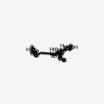 CC(C)(C)[C@H](NC(=O)c1cc2cc(C(F)(F)P(=O)(O)O)ccc2s1)C(=O)N1CCN(C(=O)CC(=O)NCCCCCCCCC#Cc2cccc3c2C(=O)N(C2CCC(=O)NC2=O)C3=O)C[C@H]1C(=O)N1CCOC(c2ccccc2)C1